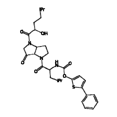 CC(C)CCC(O)C(=O)N1CC(=O)C2C1CCN2C(=O)C(CC(C)C)NC(=O)Oc1ccc(-c2ccccc2)s1